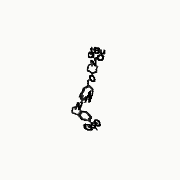 CC(C)(C)OC(=O)N1CCC(OCc2ccc(N3CCc4cc(S(C)(=O)=O)ccc43)nc2)CC1